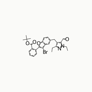 CCc1nn(CC)c(C=O)c1Cc1ccc2oc(-c3ccccc3C(=O)OC(C)(C)C)c(Br)c2c1